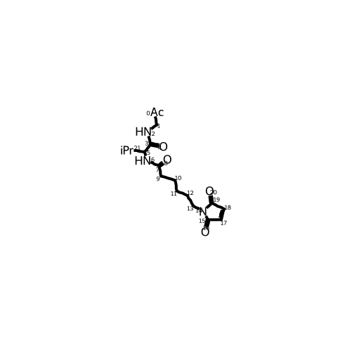 CC(=O)CNC(=O)C(NC(=O)CCCCCN1C(=O)C=CC1=O)C(C)C